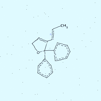 C/C=C/C1=CCOC1(c1ccccc1)c1ccccc1